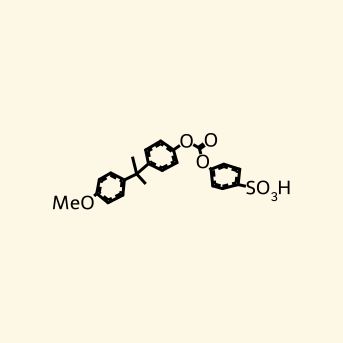 COc1ccc(C(C)(C)c2ccc(OC(=O)Oc3ccc(S(=O)(=O)O)cc3)cc2)cc1